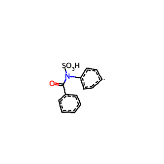 O=C(c1ccccc1)N(c1cc[c]cc1)S(=O)(=O)O